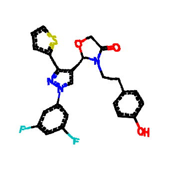 O=C1CO[C@H](c2cn(-c3cc(F)cc(F)c3)nc2-c2cccs2)N1CCc1ccc(O)cc1